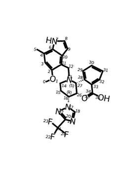 COc1cc(C)c2[nH]ccc2c1CN1CC[C@@H](n2cnc(C(F)(F)F)n2)C[C@H]1c1ccccc1C(=O)O